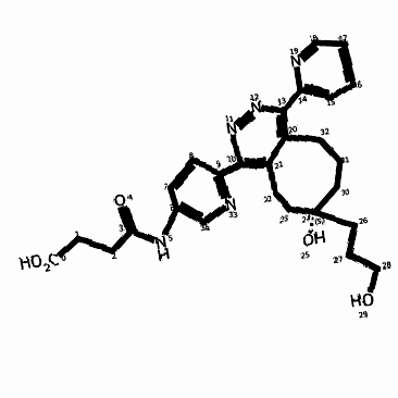 O=C(O)CCC(=O)Nc1ccc(-c2nnc(-c3ccccn3)c3c2CC[C@](O)(CCCO)CCC3)nc1